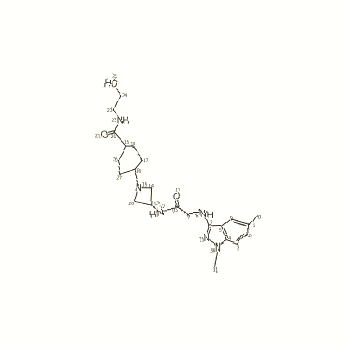 Cc1ccc2c(c1)c(NCC(=O)NC1CN(C3CCC(C(=O)NCCO)CC3)C1)nn2C